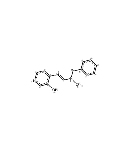 CN(C=Nc1ccncc1O)Cc1ccccc1